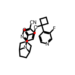 N#Cc1ccc(N2C3CCC2CN(C(=O)COC2(c4ccncc4F)CCC2)C3)nc1